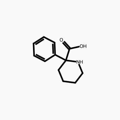 O=C(O)C1(c2ccccc2)CCCCN1